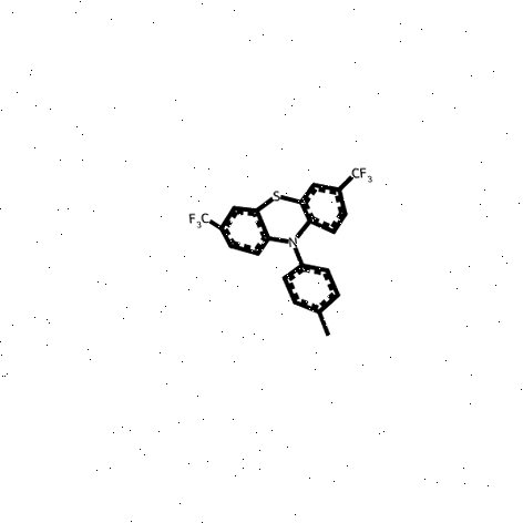 Cc1ccc(N2c3ccc(C(F)(F)F)cc3Sc3cc(C(F)(F)F)ccc32)cc1